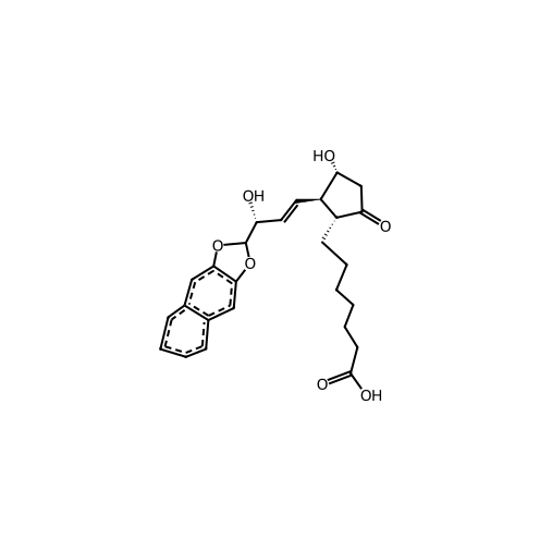 O=C(O)CCCCCC[C@H]1C(=O)C[C@@H](O)[C@@H]1/C=C/[C@@H](O)C1Oc2cc3ccccc3cc2O1